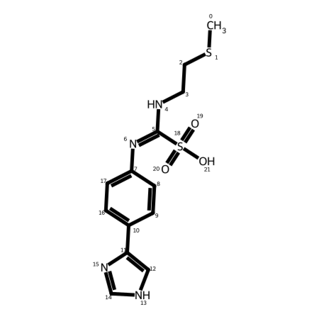 CSCCNC(=Nc1ccc(-c2c[nH]cn2)cc1)S(=O)(=O)O